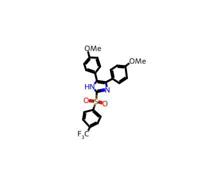 COc1ccc(-c2nc(S(=O)(=O)c3ccc(C(F)(F)F)cc3)[nH]c2-c2ccc(OC)cc2)cc1